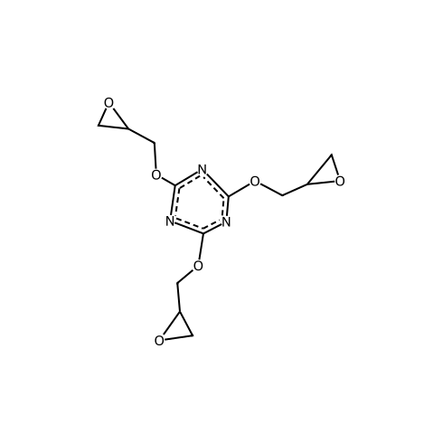 C(Oc1nc(OCC2CO2)nc(OCC2CO2)n1)C1CO1